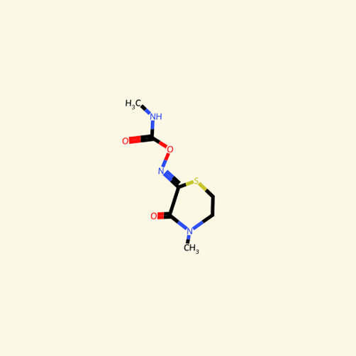 CNC(=O)ON=C1SCCN(C)C1=O